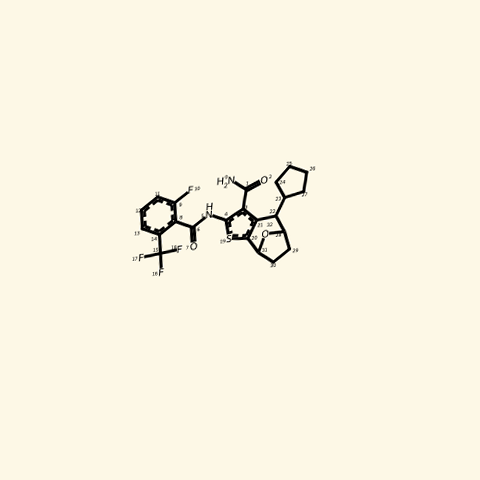 NC(=O)c1c(NC(=O)c2c(F)cccc2C(F)(F)F)sc2c1C(C1CCCC1)C1CCC2O1